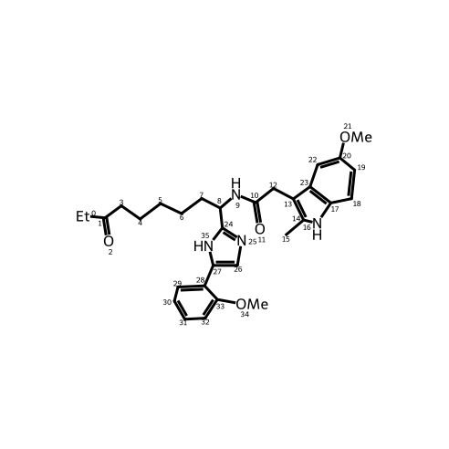 CCC(=O)CCCCCC(NC(=O)Cc1c(C)[nH]c2ccc(OC)cc12)c1ncc(-c2ccccc2OC)[nH]1